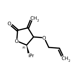 C=CCOC1C(=C)C(=O)O[C@@H]1C(C)C